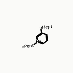 CCCCCCCc1ccc[n+](CCCCC)c1